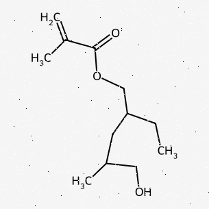 C=C(C)C(=O)OCC(CC)CC(C)CO